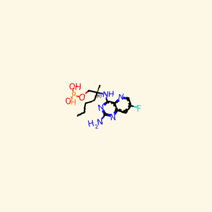 CCCC[C@](C)(CO[PH](=O)O)Nc1nc(N)nc2cc(F)cnc12